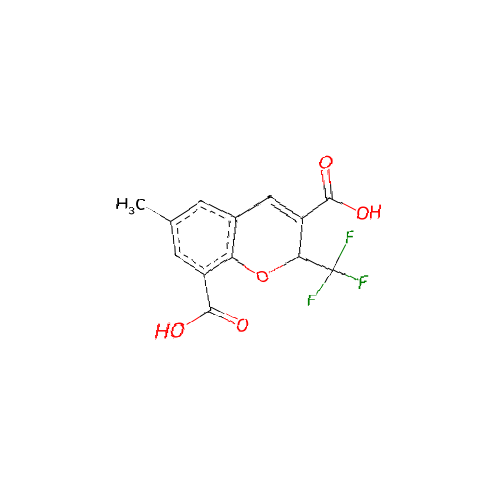 Cc1cc2c(c(C(=O)O)c1)OC(C(F)(F)F)C(C(=O)O)=C2